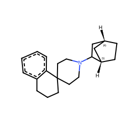 c1ccc2c(c1)CCCC21CCN(C2C[C@@H]3CC[C@H]2C3)CC1